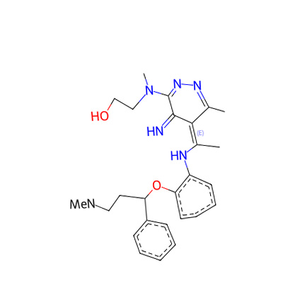 CNCCC(Oc1ccccc1N/C(C)=C1\C(=N)C(N(C)CCO)=NN=C1C)c1ccccc1